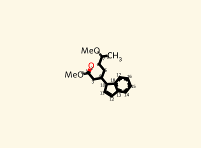 COC(=O)CC(CCC(C)OC)C1C=Cc2ccccc21